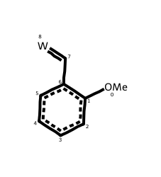 COc1ccccc1[CH]=[W]